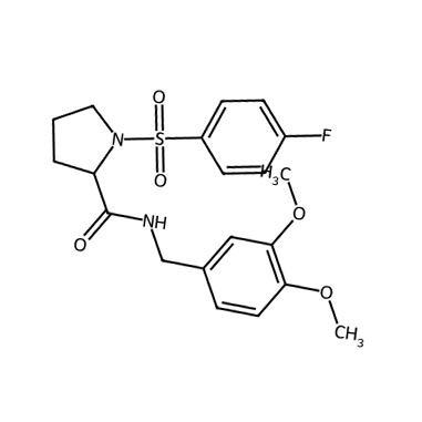 COc1ccc(CNC(=O)C2CCCN2S(=O)(=O)c2ccc(F)cc2)cc1OC